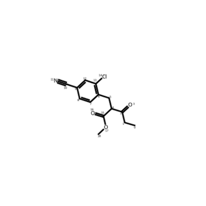 CCC(=O)C(Cc1ccc(C#N)cc1Cl)C(=O)OC